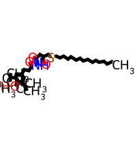 CCCCCCCCCCCCCCCCSCC1CC(=O)N(NC(=O)CCc2cc(C(C)(C)C)c(O)c(C(C)(C)C)c2)C1=O